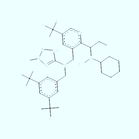 CCC(c1ncc(C(F)(F)F)cc1CN(Cc1cc(C(F)(F)F)cc(C(F)(F)F)c1)C1=NN(C)NN1)N(C)C1CCCCC1